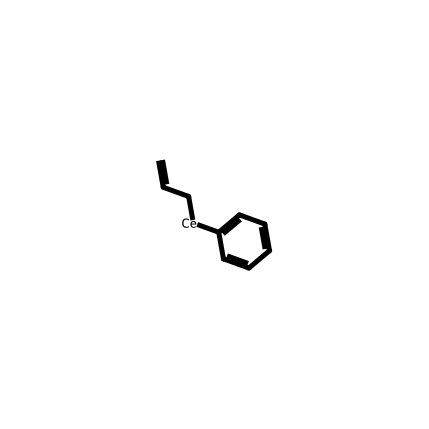 C=C[CH2][Ce][c]1ccccc1